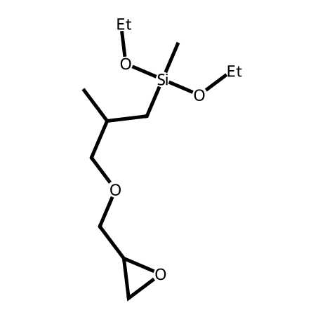 CCO[Si](C)(CC(C)COCC1CO1)OCC